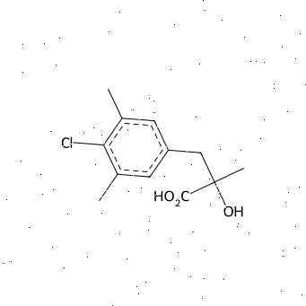 Cc1cc(CC(C)(O)C(=O)O)cc(C)c1Cl